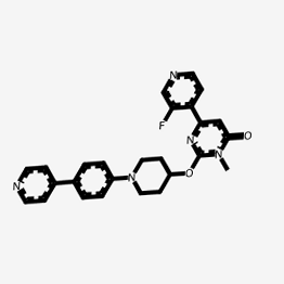 Cn1c(OC2CCN(c3ccc(-c4ccncc4)cc3)CC2)nc(-c2ccncc2F)cc1=O